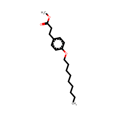 CCCCCCCCCOc1ccc(CCC(=O)OC)cc1